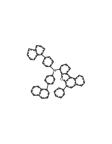 c1ccc(-c2cc3ccccc3c3c2oc2c(N(c4ccc(-c5cccc6ccccc56)cc4)c4ccc(-c5cccc6ccccc56)cc4)cccc23)cc1